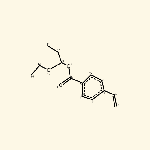 C=Cc1ccc(C(=O)OC(CC)OCC)cc1